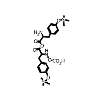 C[Si](C)(C)Oc1ccc(CC(N)C(=O)OC(=O)C(Cc2ccc(O[Si](C)(C)C)cc2)NOC(=O)O)cc1